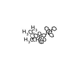 CC1(C)CCC(C)(C)c2cc3c(cc21)Oc1cc(N2c4ccccc4N(c4ccccc4)c4ccccc42)cc2c1B3c1ccccc1O2